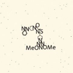 COc1nc(OC)nc(N2CCC(c3nc(C(=O)N4CCC(n5cnc6ccccc65)CC4)cs3)CC2)n1